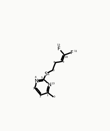 Cc1ccnc(SCCC=C(F)F)n1